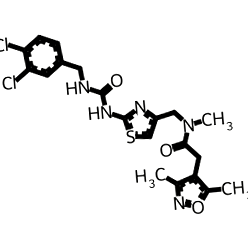 Cc1noc(C)c1CC(=O)N(C)Cc1csc(NC(=O)NCc2ccc(Cl)c(Cl)c2)n1